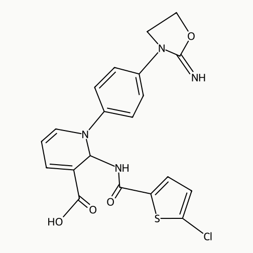 N=C1OCCN1c1ccc(N2C=CC=C(C(=O)O)C2NC(=O)c2ccc(Cl)s2)cc1